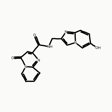 O=C(NCc1cn2cc(O)ccc2n1)c1cc(=O)n2ccccc2n1